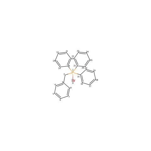 BrP(Cc1ccccc1)(c1ccccc1)(c1ccccc1)c1ccccc1